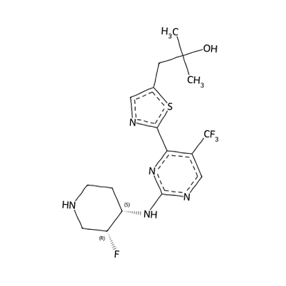 CC(C)(O)Cc1cnc(-c2nc(N[C@H]3CCNC[C@H]3F)ncc2C(F)(F)F)s1